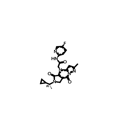 Cc1cc2n(CC(=O)Nc3ccc(F)cn3)c3c(c(=O)n2n1)CN([C@H](C)C1CC1)C3=O